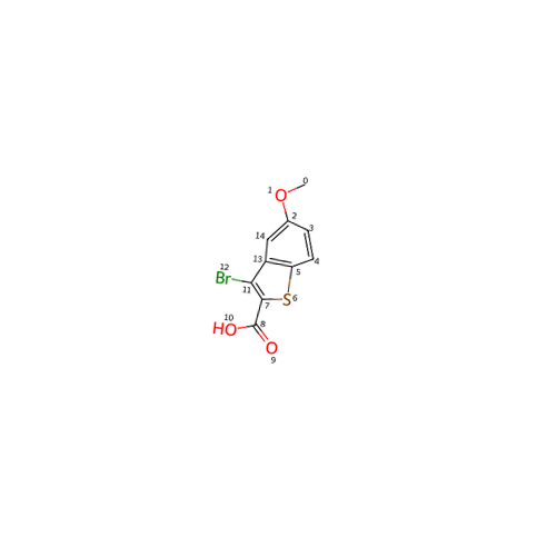 COc1ccc2sc(C(=O)O)c(Br)c2c1